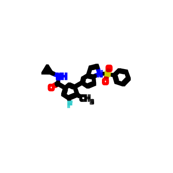 Cc1c(F)cc(C(=O)NC2CC2)cc1-c1ccc2c(ccn2S(=O)(=O)c2ccccc2)c1